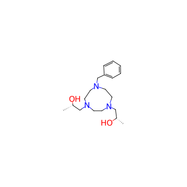 C[C@H](O)CN1CCN(Cc2ccccc2)CCN(C[C@H](C)O)CC1